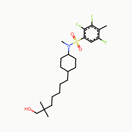 Cc1c(F)cc(S(=O)(=O)N(C)C2CCC(CCCCCC(C)(C)CO)CC2)c(F)c1F